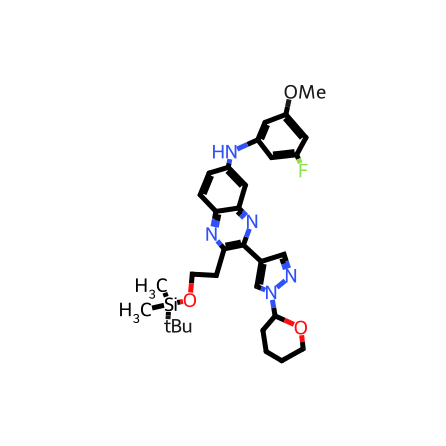 COc1cc(F)cc(Nc2ccc3nc(CCO[Si](C)(C)C(C)(C)C)c(-c4cnn(C5CCCCO5)c4)nc3c2)c1